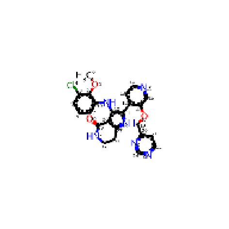 COc1c(Cl)cccc1Nc1c(-c2ccncc2OCc2ccncn2)[nH]c2c1C(=O)NCC2